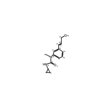 CN(C(=O)NC1CC1)c1cccc(/C=C/C[O])c1